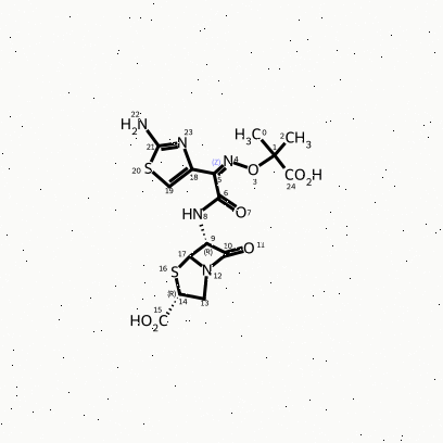 CC(C)(O/N=C(\C(=O)N[C@@H]1C(=O)N2C[C@H](C(=O)O)SC12)c1csc(N)n1)C(=O)O